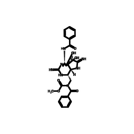 COC(=O)N(C[C@@H]1NC(=N)N2C[C@H](NC(=O)c3ccccc3)C(O)(O)[C@@]23NC(=N)N[C@@H]13)C(=O)c1ccccc1